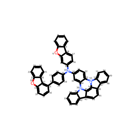 c1ccc2c(c1)oc1cc(N(c3ccc(-c4cccc5oc6ccccc6c45)cc3)c3ccc4c(c3)n3c5ccccc5c5ccc6c7ccccc7n4c6c53)ccc12